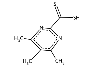 Cc1nc(C(=S)S)nc(C)c1C